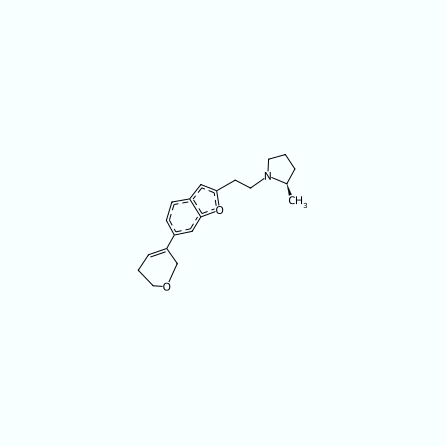 C[C@@H]1CCCN1CCc1cc2ccc(C3=CCCOC3)cc2o1